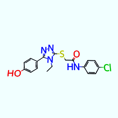 CCn1c(SCC(=O)Nc2ccc(Cl)cc2)nnc1-c1ccc(O)cc1